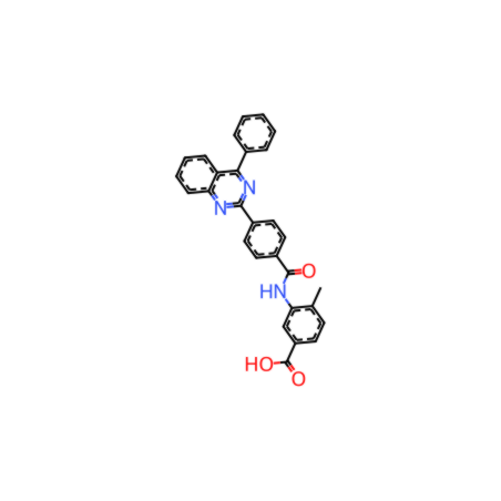 Cc1ccc(C(=O)O)cc1NC(=O)c1ccc(-c2nc(-c3ccccc3)c3ccccc3n2)cc1